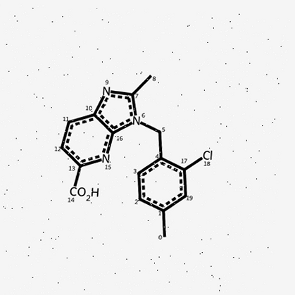 Cc1ccc(Cn2c(C)nc3ccc(C(=O)O)nc32)c(Cl)c1